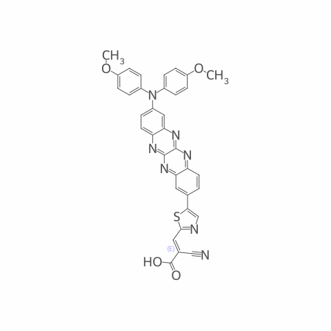 COc1ccc(N(c2ccc(OC)cc2)c2ccc3nc4nc5cc(-c6cnc(/C=C(\C#N)C(=O)O)s6)ccc5nc4nc3c2)cc1